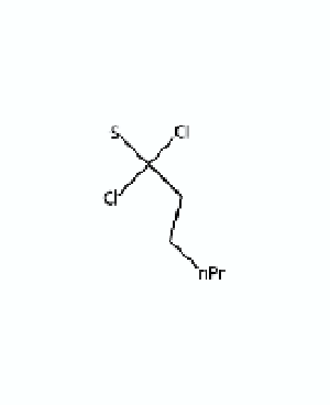 CCCCCC([S])(Cl)Cl